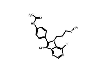 CCCOCCCn1c(-c2ccc(NC(=O)C(F)(F)F)cc2)c(C#N)c2ncnc(Cl)c21